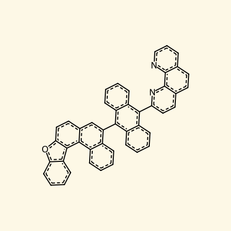 c1cnc2c(c1)ccc1ccc(-c3c4ccccc4c(-c4cc5ccc6oc7ccccc7c6c5c5ccccc45)c4ccccc34)nc12